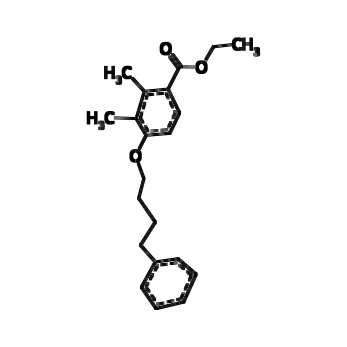 CCOC(=O)c1ccc(OCCCCc2ccccc2)c(C)c1C